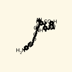 Cc1ccc(C(CC(=O)O)c2cc(OCC(=O)NCCOCCOCCN3CCN(c4ccc(N)cc4)CC3)c3c(c2)nnn3C)cc1CN1CC(C)Oc2ccccc2S1